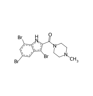 CN1CCN(C(=O)c2[nH]c3c(Br)cc(Br)cc3c2Br)CC1